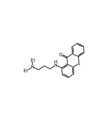 CCN(CC)CCCNc1cccc2sc3ccccc3c(=O)c12